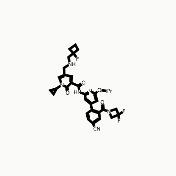 CC(C)Oc1cc(-c2ccc(C#N)cc2C(=O)N2CC(F)(F)C2)cc(NC(=O)c2cc(CNCC3(F)CCC3)cn(C3CC3)c2=O)n1